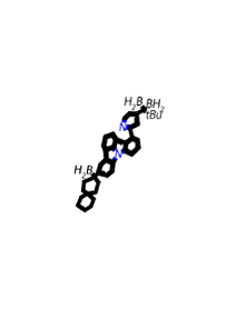 BC1(c2ccc3c(c2)c2cccc4c5c(-c6cc(C(B)(B)C(C)(C)C)ccn6)cccc5n3c24)CCC2(CCCCC2)CC1